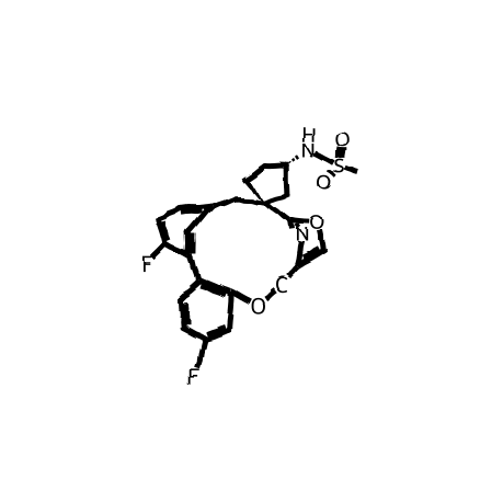 CS(=O)(=O)N[C@H]1CC[C@@]2(Cc3ccc(F)c(c3)-c3ccc(F)cc3OCc3coc2n3)C1